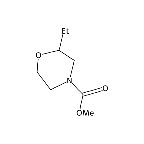 CCC1CN(C(=O)OC)CCO1